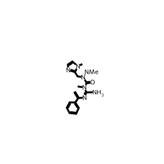 C=C(/N=C(/N)N(C)C(=O)N(Cc1nccn1C)NC)c1ccccc1